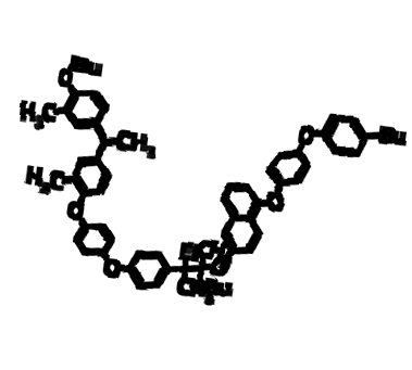 CCCCC(C)(Oc1ccc2c(Oc3ccc(Oc4ccc(C(C)CC)cc4)cc3)cccc2c1)C(C)(CC)c1ccc(Oc2ccc(Oc3ccc(C(C)c4ccc(OC(C)CC)c(C)c4)cc3C)cc2)cc1